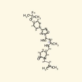 C/C(=N/C(=N)c1nc(-c2ccc(OC(C)(C)F)cc2)no1)NCc1ccc(=O)n(CCN(C)C)c1